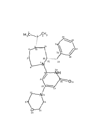 CC(C)[C@H]1CCCN(c2cc(N3CCOCC3)cc(=O)[nH]2)[C@@H](Cc2ccccc2)C1